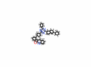 c1ccc(-c2ccc3cc(-c4nc(-c5ccccc5)nc(-c5ccc(-c6cccc7oc8nc9ccccc9cc8c67)cc5)n4)ccc3c2)cc1